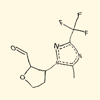 Cc1nc(C(F)(F)F)nn1C1CCOC1C=O